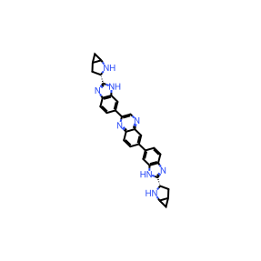 c1cc2nc(-c3ccc4nc([C@@H]5CC6CC6N5)[nH]c4c3)cnc2cc1-c1ccc2nc([C@@H]3CC4CC4N3)[nH]c2c1